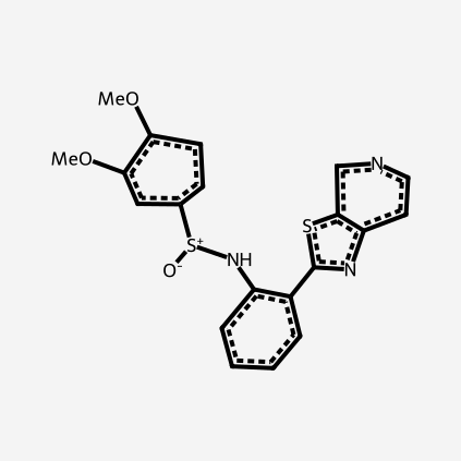 COc1ccc([S+]([O-])Nc2ccccc2-c2nc3ccncc3s2)cc1OC